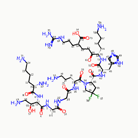 C[C@H](NC(=O)[C@@H](NC(=O)[C@@H](N)CCCCN)[C@@H](O)CN)C(=O)NCC(=O)N[C@H](CCCN)C(=O)N1CC(F)(F)C[C@H]1C(=O)N[C@@H](Cc1cnc[nH]1)C(=O)N[C@@H](CCCCN)C(=O)CCC(CCCNC(=N)N)C(=O)O